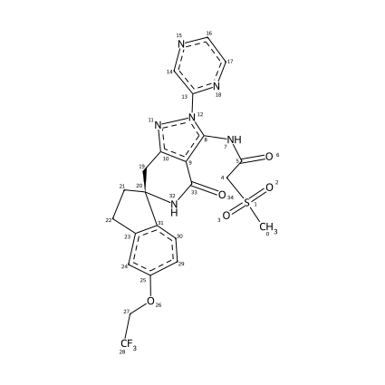 CS(=O)(=O)CC(=O)Nc1c2c(nn1-c1cnccn1)C[C@@]1(CCc3cc(OCC(F)(F)F)ccc31)NC2=O